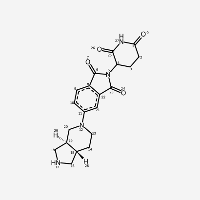 O=C1CCC(N2C(=O)c3ccc(N4CC[C@@H]5CNC[C@H]5C4)cc3C2=O)C(=O)N1